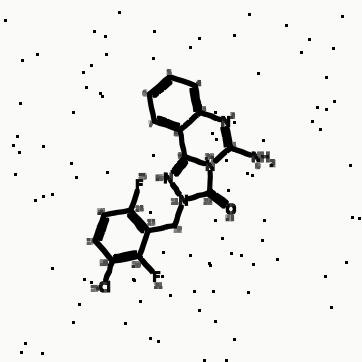 Nc1nc2ccccc2c2nn(Cc3c(F)ccc(Cl)c3F)c(=O)n12